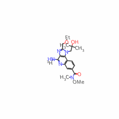 [3H]Nc1nc2cc(C(=O)N(C)OC)ccc2c2c1nc(COCC)n2CC(C)(C)O